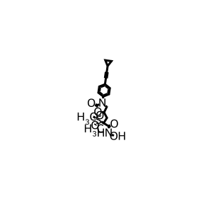 CC(CC1CN(c2ccc(C#CC3CC3)cc2)C(=O)O1)(C(=O)NO)S(C)(=O)=O